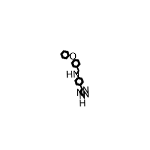 c1ccc(Oc2ccc(CNc3ccc(-c4nn[nH]n4)cc3)cc2)cc1